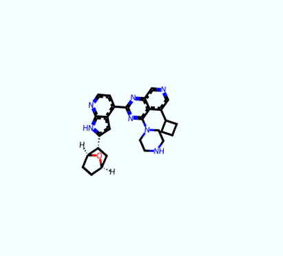 c1cc(-c2nc(N3CCNCC3)c3c(C4CCC4)cncc3n2)c2cc([C@@H]3C[C@H]4CC[C@@H]3O4)[nH]c2n1